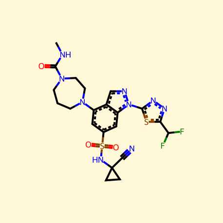 CNC(=O)N1CCCN(c2cc(S(=O)(=O)NC3(C#N)CC3)cc3c2cnn3-c2nnc(C(F)F)s2)CC1